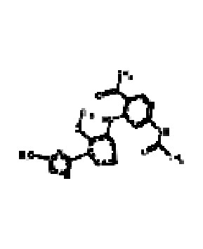 COc1c(Nc2cc(NC(C)=O)ncc2C(C)=O)cccc1-c1ncn(C)n1